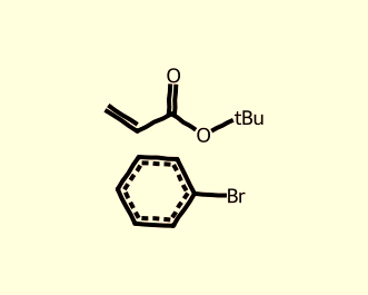 Brc1ccccc1.C=CC(=O)OC(C)(C)C